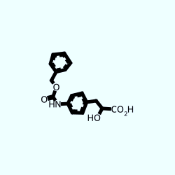 O=C(Nc1ccc(CC(O)C(=O)O)cc1)OCc1ccccc1